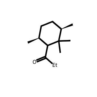 CCC(=O)C1[C@@H](C)CC[C@@H](C)C1(C)C